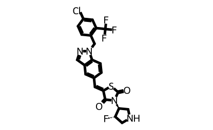 O=C1S/C(=C\c2ccc3c(cnn3Cc3ccc(Cl)cc3C(F)(F)F)c2)C(=O)N1[C@H]1CNC[C@@H]1F